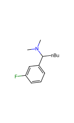 CCCCC(c1cccc(F)c1)N(C)C